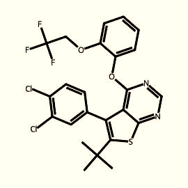 CC(C)(C)c1sc2ncnc(Oc3ccccc3OCC(F)(F)F)c2c1-c1ccc(Cl)c(Cl)c1